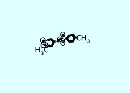 Cc1ccc(S(=O)(=O)OC[C@@H]2CCS(=O)(=O)[C@H](C)C2)cc1